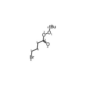 CC(C)(C)OOC(=O)CCCBr